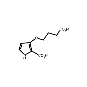 O=C(O)CCCOc1cc[nH]c1C(=O)O